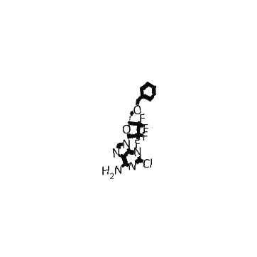 Nc1nc(Cl)nc2c1ncn2[C@@H]1O[C@H](COCc2ccccc2)C(F)(F)C1(F)F